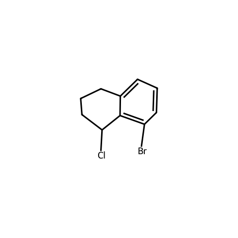 ClC1CCCc2cccc(Br)c21